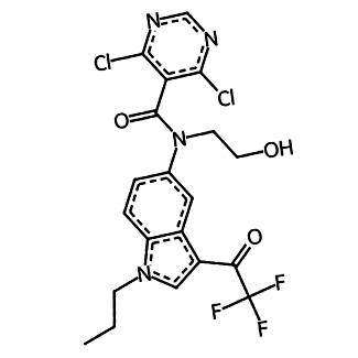 CCCn1cc(C(=O)C(F)(F)F)c2cc(N(CCO)C(=O)c3c(Cl)ncnc3Cl)ccc21